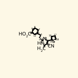 C=C1NC(SCc2cccc(C(=O)O)c2)=NC(c2cccs2)=C1C#N